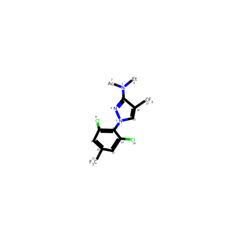 CCN(C(C)=O)c1nn(-c2c(Cl)cc(C(F)(F)F)cc2Cl)cc1C(F)(F)F